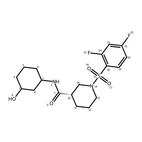 O=C(NC1CCCC(O)C1)[C@H]1CCCN(S(=O)(=O)c2ccc(F)cc2F)C1